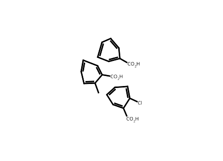 Cc1ccccc1C(=O)O.O=C(O)c1ccccc1.O=C(O)c1ccccc1Cl